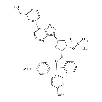 COc1ccc(C(OC[C@H]2O[C@@H](n3cnc4c(-c5cccc(CO)c5)ncnc43)C[C@@H]2O[Si](C)(C)C(C)(C)C)(c2ccccc2)c2ccc(OC)cc2)cc1